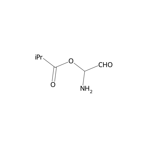 CC(C)C(=O)OC(N)C=O